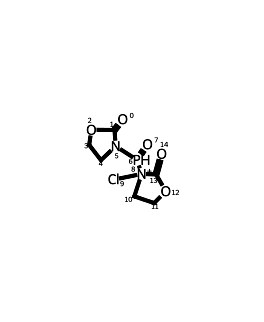 O=C1OCCN1[PH](=O)[N+]1(Cl)CCOC1=O